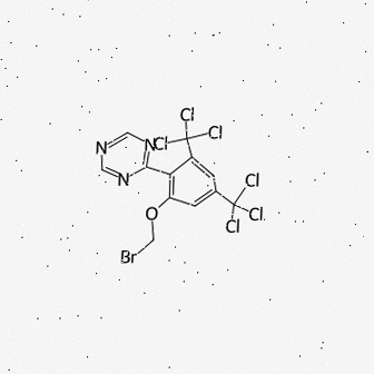 ClC(Cl)(Cl)c1cc(OCBr)c(-c2ncncn2)c(C(Cl)(Cl)Cl)c1